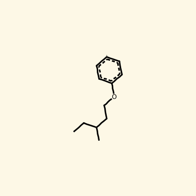 CCC(C)CCOc1cc[c]cc1